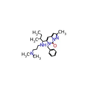 CC[C@H](C)[C@H](NCCCN(C)C)c1cc2cc(C)nn2c(=O)n1Cc1ccccc1